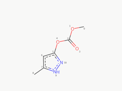 COC(=O)Oc1cc(C)[nH]n1